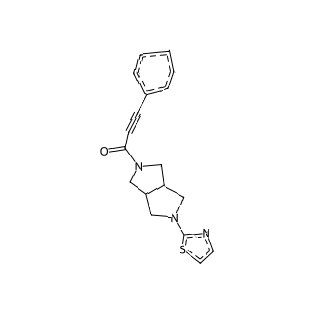 O=C(C#Cc1ccccc1)N1CC2CN(c3nccs3)CC2C1